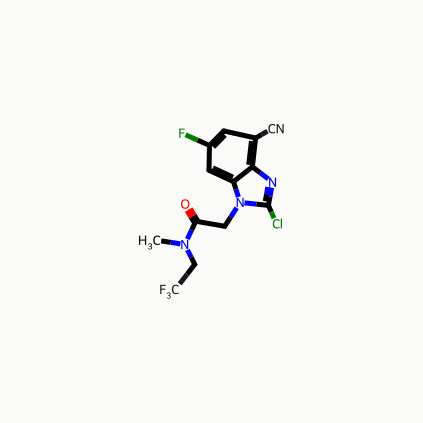 CN(CC(F)(F)F)C(=O)Cn1c(Cl)nc2c(C#N)cc(F)cc21